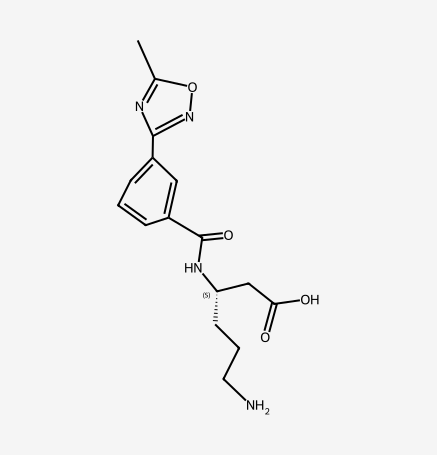 Cc1nc(-c2cccc(C(=O)N[C@@H](CCCN)CC(=O)O)c2)no1